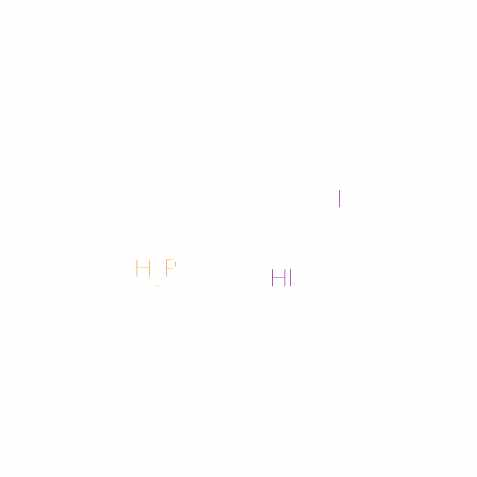 I.PCCI